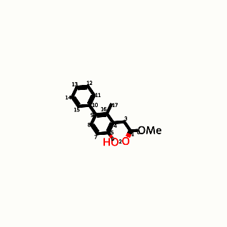 COC(=O)Cc1c(O)ccc(-c2ccccc2)c1C